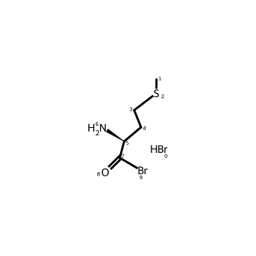 Br.CSCC[C@H](N)C(=O)Br